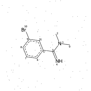 CN(C)C(=N)c1cccc(Br)c1